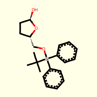 CC(C)(C)[Si](OC[C@@H]1CC[C@@H](O)O1)(c1ccccc1)c1ccccc1